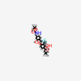 COc1cc(CNC(=O)OC(C)(C)C)ccc1COc1ccc(C(=O)CC(C)(C)C)c(O)c1C(F)(F)F